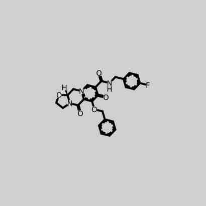 O=C(NCc1ccc(F)cc1)c1cn2c(c(OCc3ccccc3)c1=O)C(=O)N1CCO[C@@H]1C2